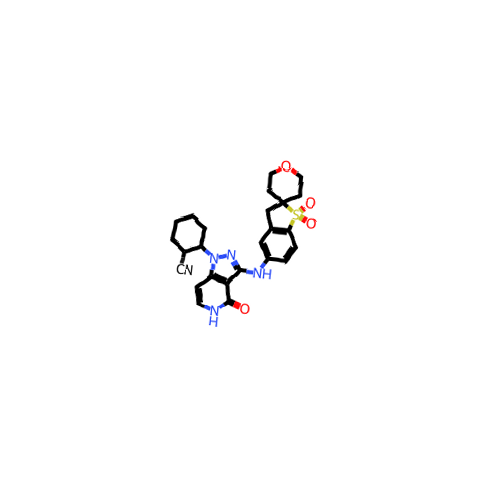 N#CC1CCCCC1n1nc(Nc2ccc3c(c2)CC2(CCOCC2)S3(=O)=O)c2c(=O)[nH]ccc21